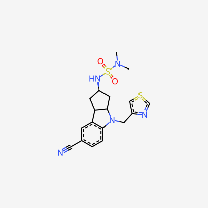 CN(C)S(=O)(=O)N[C@@H]1CC2c3cc(C#N)ccc3N(Cc3cscn3)C2C1